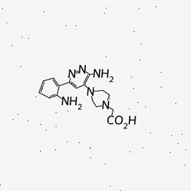 Nc1ccccc1-c1cc(N2CCN(CC(=O)O)CC2)c(N)nn1